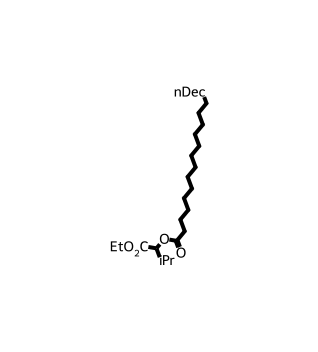 CCCCCCCCCCCCCCCCCCCCCCCC(=O)OC(C(=O)OCC)C(C)C